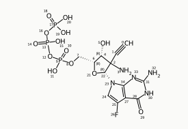 C#CC1(N)[C@@H](O)[C@@H](COP(=O)(O)OP(=O)(O)OP(=O)(O)O)O[C@H]1n1cc(F)c2c(=O)[nH]c(N)nc21